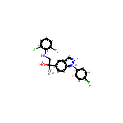 OC(CNc1c(F)cccc1F)(c1ccc2c(cnn2-c2ccc(F)cc2)c1)C(F)(F)F